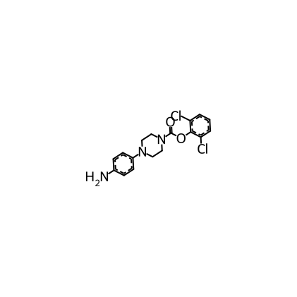 Nc1ccc(N2CCN(C(=O)Oc3c(Cl)cccc3Cl)CC2)cc1